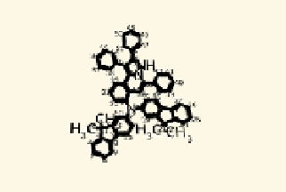 CC1(C)c2ccccc2-c2ccc(N(c3ccc4c(c3)C(C)(C)c3ccccc3-4)c3cccc4c3C=C(c3ccccc3)N3NC(c5ccccc5)C(c5ccccc5)=C43)cc21